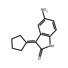 O=C1Nc2ccc([N+](=O)[O-])cc2C1=C1CCCC1